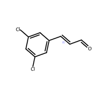 O=C/C=C/c1cc(Cl)cc(Cl)c1